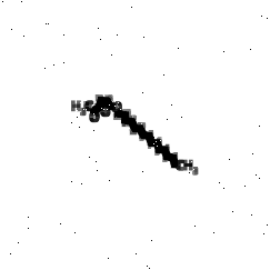 CCCCCCCCCCCCCCCCOc1ccc(C(C)=O)o1